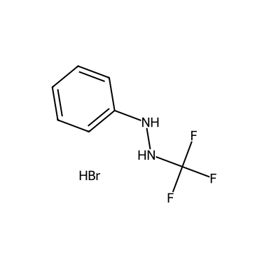 Br.FC(F)(F)NNc1ccccc1